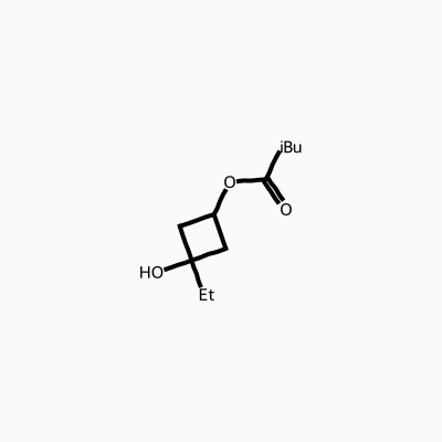 CCC(C)C(=O)OC1CC(O)(CC)C1